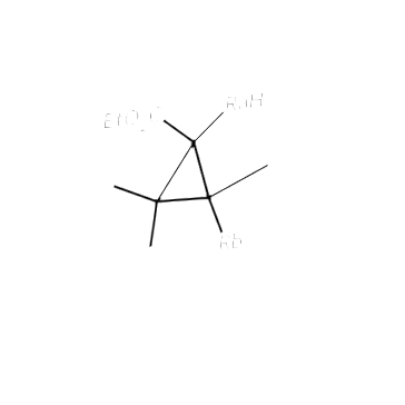 CCOC(=O)[C]1([RaH])C(C)(C)[C]1(C)[Rb]